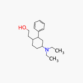 CCN(CC)C1CCC(CCO)C(c2ccccc2)C1